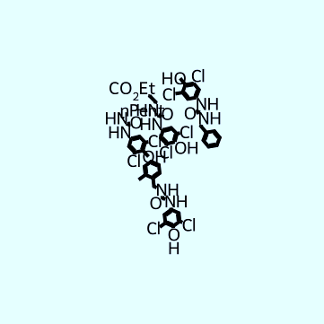 CCCCCNC(=O)Nc1cc(Cl)c(O)c(Cl)c1.CCOC(=O)CCNC(=O)Nc1cc(Cl)c(O)c(Cl)c1.Cc1ccccc1CNC(=O)Nc1cc(Cl)c(O)c(Cl)c1.O=C(NCc1ccccc1)Nc1cc(Cl)c(O)c(Cl)c1